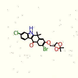 CC1(C)OC[C@H](COC2=C(Br)CC3C(=O)c4c([nH]c5cc(Cl)ccc45)C(C)(C)C3=C2)O1